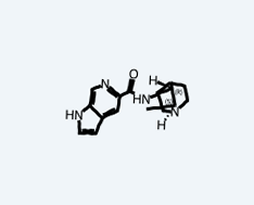 C[C@H]1[C@H](NC(=O)c2cc3cc[nH]c3cn2)C2CCN1CC2